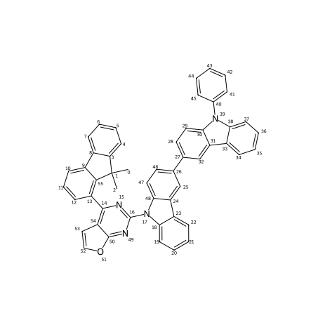 CC1(C)c2ccccc2-c2cccc(-c3nc(-n4c5ccccc5c5cc(-c6ccc7c(c6)c6ccccc6n7-c6ccccc6)ccc54)nc4occc34)c21